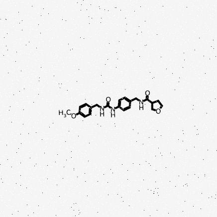 COc1ccc(CNC(=O)Nc2ccc(CNC(=O)C3CCOC3)cc2)cc1